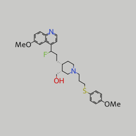 COc1ccc(SCCCN2CC[C@@H](CCC(F)c3ccnc4ccc(OC)cc34)[C@@H](CO)C2)cc1